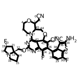 N#CCC1OCCCN2c3nc(OC[C@@]45CCCN4C[C@H](F)C5)nc4c(F)c(-c5ccc(F)c6sc(N)c(C#N)c56)c(Cl)c(c34)OCC12